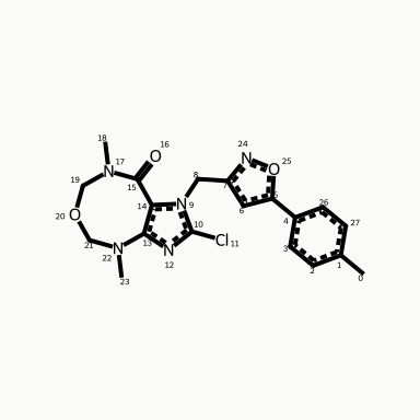 Cc1ccc(-c2cc(Cn3c(Cl)nc4c3C(=O)N(C)COCN4C)no2)cc1